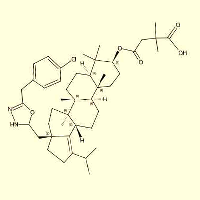 CC(C)C1=C2[C@H]3CC[C@@H]4[C@@]5(C)CC[C@H](OC(=O)CC(C)(C)C(=O)O)C(C)(C)[C@@H]5CC[C@@]4(C)[C@]3(C)CC[C@@]2(CC2NN=C(Cc3ccc(Cl)cc3)O2)CC1